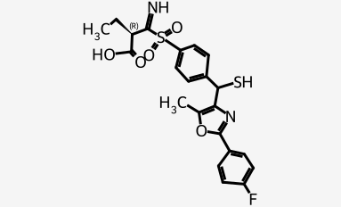 CC[C@@H](C(=N)S(=O)(=O)c1ccc(C(S)c2nc(-c3ccc(F)cc3)oc2C)cc1)C(=O)O